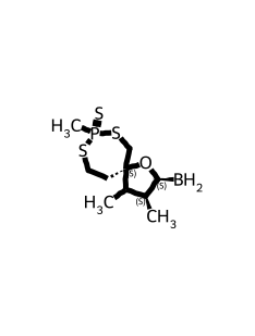 B[C@@H]1O[C@@]2(CCSP(C)(=S)SC2)C(C)[C@@H]1C